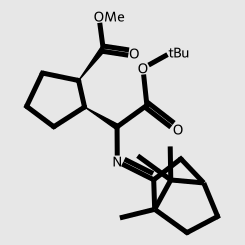 COC(=O)[C@@H]1CCC[C@@H]1C(/N=C1\CC2CCC1(C)C2(C)C)C(=O)OC(C)(C)C